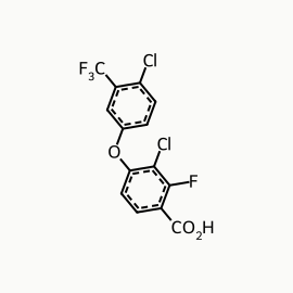 O=C(O)c1ccc(Oc2ccc(Cl)c(C(F)(F)F)c2)c(Cl)c1F